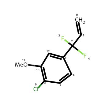 C=CC(F)(F)c1ccc(Cl)c(OC)c1